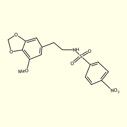 COc1cc(CCNS(=O)(=O)c2ccc([N+](=O)[O-])cc2)cc2c1OCO2